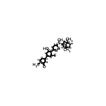 CN(c1ccc(-c2c(O)cc(-c3ccn(C)c(=O)c3)cc2F)nn1)[C@@H]1C[C@]2(C)CC[C@](C)(C1)N2